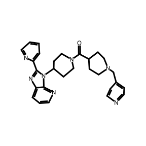 O=C(C1CCN(Cc2ccncc2)CC1)N1CCC(n2c(-c3ccccn3)nc3cccnc32)CC1